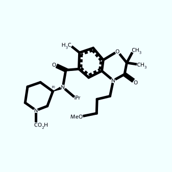 COCCCN1C(=O)C(C)(C)Oc2cc(C)c(C(=O)N(C(C)C)[C@@H]3CCCN(C(=O)O)C3)cc21